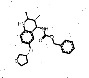 C[C@H]1[C@H](C)Nc2ccc(O[C@@H]3CCOC3)cc2[C@@H]1NC(=O)OCc1ccccc1